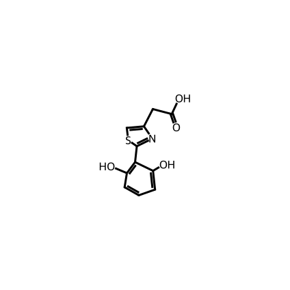 O=C(O)Cc1csc(-c2c(O)cccc2O)n1